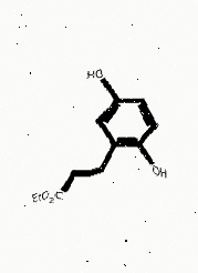 CCOC(=O)CCc1cc(O)ccc1O